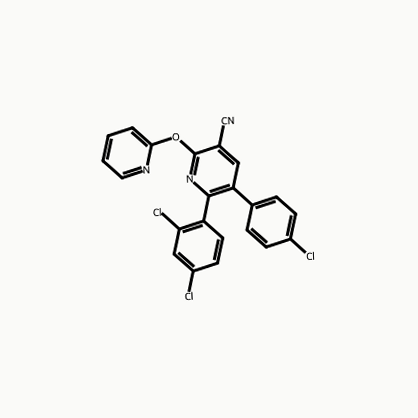 N#Cc1cc(-c2ccc(Cl)cc2)c(-c2ccc(Cl)cc2Cl)nc1Oc1ccccn1